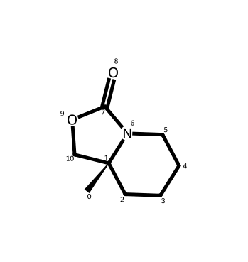 C[C@]12CCCCN1C(=O)OC2